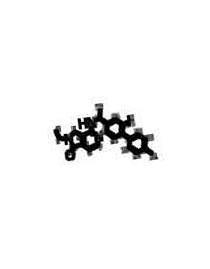 CCN1Cc2c(ccnc2NC(C)c2ccc(-c3ccc(C)cc3)c(F)c2)C1=O